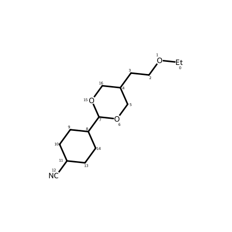 CCOCCC1COC(C2CCC(C#N)CC2)OC1